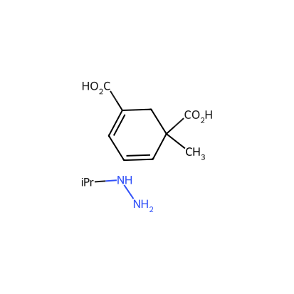 CC(C)NN.CC1(C(=O)O)C=CC=C(C(=O)O)C1